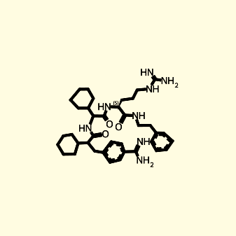 N=C(N)NCCC[C@H](NC(=O)C(NC(=O)C(Cc1ccc(C(=N)N)cc1)C1CCCCC1)C1CCCCC1)C(=O)NCCc1ccccc1